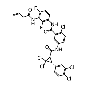 C=CCC(=O)Nc1c(F)ccc(NC(=O)c2cc(NC(=O)[C@H]3[C@H](c4ccc(Cl)c(Cl)c4)C3(Cl)Cl)ccc2Cl)c1F